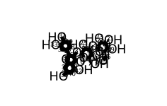 O=c1c(OC2O[C@H](CO)[C@@H](O)[C@H](OC3O[C@H](CO)[C@@H](O)[C@H](O)[C@H]3O)[C@H]2O)c(-c2ccc(O)c(O)c2)oc2cc(O)cc(O)c12